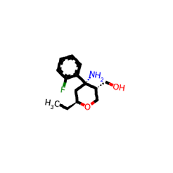 CC[C@H]1C[C@@](N)(c2ccccc2F)[C@H](CO)CO1